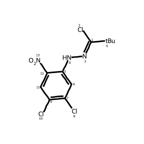 CC(C)(C)/C(Cl)=N/Nc1cc(Cl)c(Cl)cc1[N+](=O)[O-]